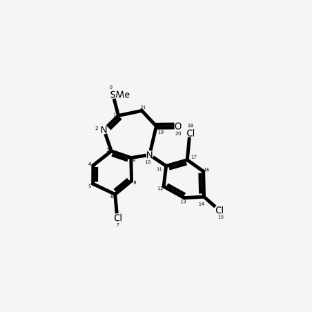 CSC1=Nc2ccc(Cl)cc2N(c2ccc(Cl)cc2Cl)C(=O)C1